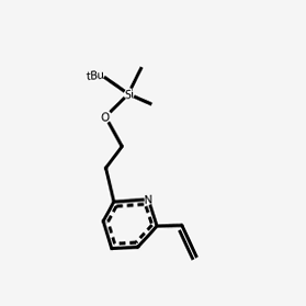 C=Cc1cccc(CCO[Si](C)(C)C(C)(C)C)n1